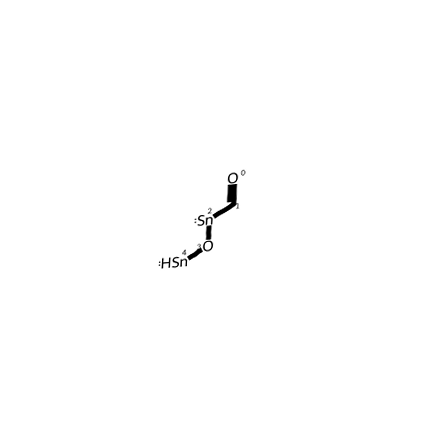 O=[CH][Sn][O][SnH]